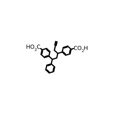 C#CCC(CC(c1ccccc1)c1ccc(C(=O)O)cc1)c1ccc(C(=O)O)cc1